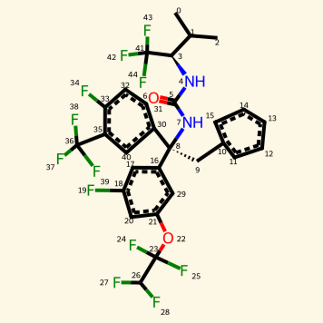 CC(C)[C@@H](NC(=O)N[C@@](Cc1ccccc1)(c1cc(F)cc(OC(F)(F)C(F)F)c1)c1ccc(F)c(C(F)(F)F)c1)C(F)(F)F